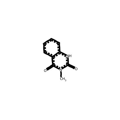 Cn1c(=O)[nH]c2cc[c]cc2c1=O